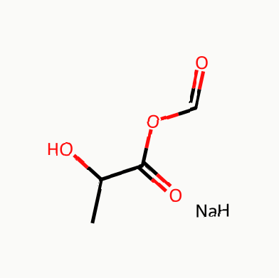 CC(O)C(=O)OC=O.[NaH]